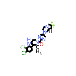 C[C@H]1c2c([nH]c3c(Cl)c(Cl)ccc23)CCN1C(=O)c1ncc(N2CCN3CC(F)(F)C[C@H]3C2)cn1